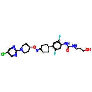 O=C(NCCCO)Nc1cc(F)c(C2CCC(=NOC3CCN(c4ncc(Cl)cn4)CC3)CC2)cc1F